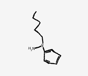 CCCCCN(N)c1ccccc1